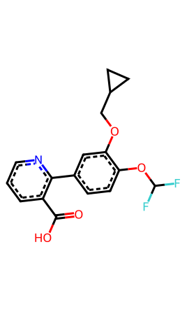 O=C(O)c1cccnc1-c1ccc(OC(F)F)c(OCC2CC2)c1